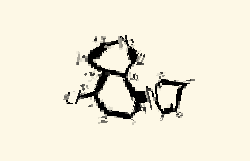 Clc1ccc(-n2cccc2)c2cnccc12